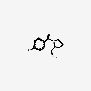 NC[C@@H]1CCCN1C(=O)c1ccc(Br)cc1